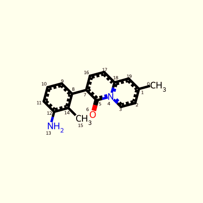 Cc1ccn2c(=O)c(-c3cccc(N)c3C)ccc2c1